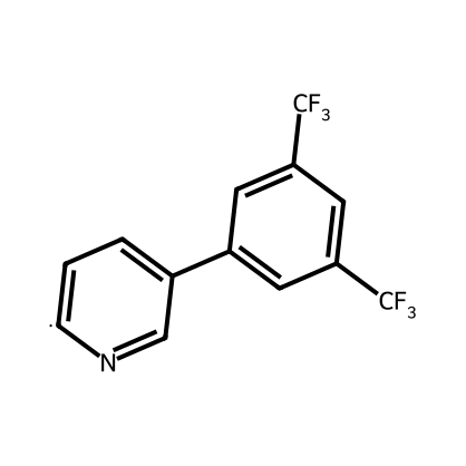 FC(F)(F)c1cc(-c2cc[c]nc2)cc(C(F)(F)F)c1